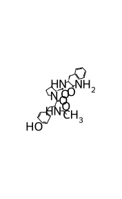 CC(=O)NC(Cc1ccc(O)cc1)C(=O)N1CCC[C@H]1C(=O)N[C@@H](Cc1ccccc1)C(N)=O